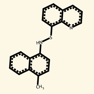 Cc1ccc(NSc2cccc3cccnc23)c2ccccc12